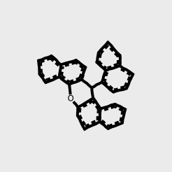 c1ccc2c(C3c4ccc5ccccc5c4Oc4ccc5ccccc5c43)cccc2c1